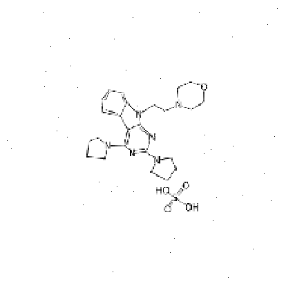 O=S(=O)(O)O.c1ccc2c(c1)c1c(N3CCCC3)nc(N3CCCC3)nc1n2CCN1CCOCC1